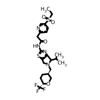 CCS(=O)(=O)c1ccc(CC(=O)Nc2nc3c(s2)CN(C[C@@H]2CC[C@@H](C(F)(F)F)OC2)C3C(C)C)nc1